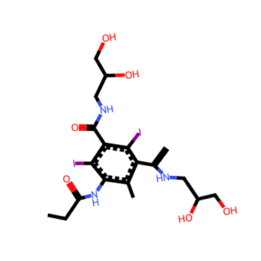 C=C(NCC(O)CO)c1c(C)c(NC(=O)CC)c(I)c(C(=O)NCC(O)CO)c1I